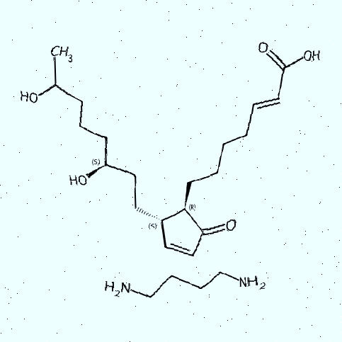 CC(O)CCC[C@H](O)CC[C@H]1C=CC(=O)[C@@H]1CCCCC=CC(=O)O.NCCCCN